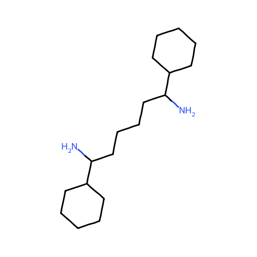 NC(CCCCC(N)C1CCCCC1)C1CCCCC1